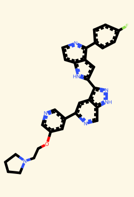 Fc1ccc(-c2nccc3[nH]c(-c4n[nH]c5cnc(-c6cncc(OCCN7CCCC7)c6)cc45)cc23)cc1